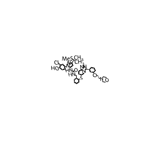 CSC(C)(C)c1cc(NC(=O)NCc2ccccc2Sc2ccc3nnc(-c4cccc(OCCN5CCOCC5)c4)n3c2)n(-c2ccc(O)c(Cl)c2)n1